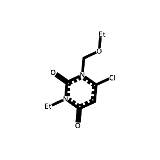 CCOCn1c(Cl)cc(=O)n(CC)c1=O